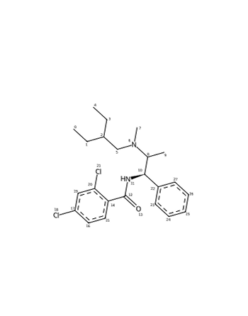 CCC(CC)CN(C)C(C)[C@H](NC(=O)c1ccc(Cl)cc1Cl)c1ccccc1